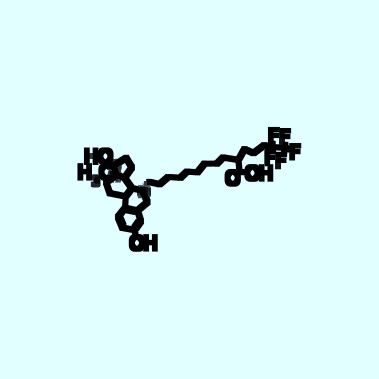 C[C@]12CCC3c4ccc(O)cc4C[C@@H](CCCCCCCCCC(CCCC(F)(F)C(F)(F)F)C(=O)O)C3C1CC[C@@H]2O